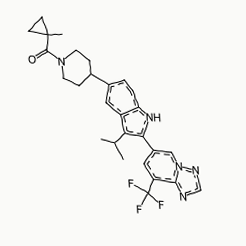 CC(C)c1c(-c2cc(C(F)(F)F)c3ncnn3c2)[nH]c2ccc(C3CCN(C(=O)C4(C)CC4)CC3)cc12